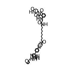 O=C(CNc1cccc2c1C(=O)N(C1CCC(=O)NC1=O)C2=O)NCCCCCCCCCC(=O)N1CCN(c2ccc(-c3cnc(NCc4ccco4)n4cnnc34)cc2)CC1